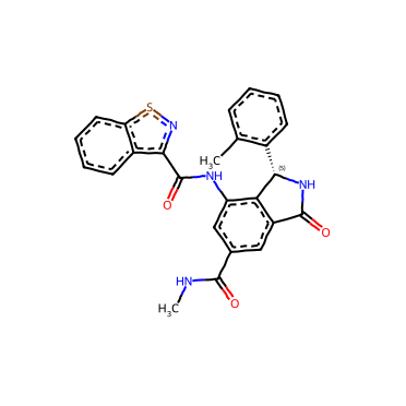 CNC(=O)c1cc(NC(=O)c2nsc3ccccc23)c2c(c1)C(=O)N[C@H]2c1ccccc1C